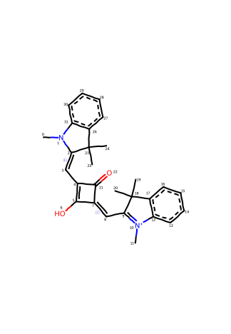 CN1/C(=C/C2=C(O)C(=C/C3=[N+](C)c4ccccc4C3(C)C)/C2=O)C(C)(C)c2ccccc21